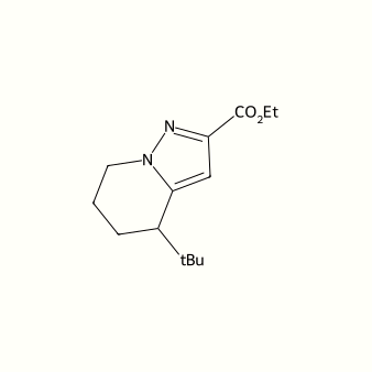 CCOC(=O)c1cc2n(n1)CCCC2C(C)(C)C